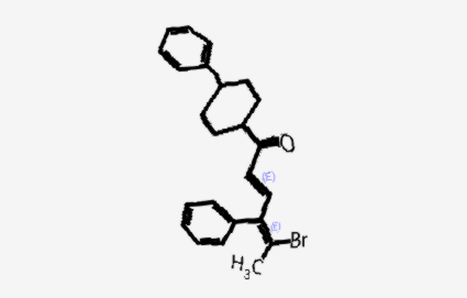 C/C(Br)=C(/C=C/C(=O)C1CCC(c2ccccc2)CC1)c1ccccc1